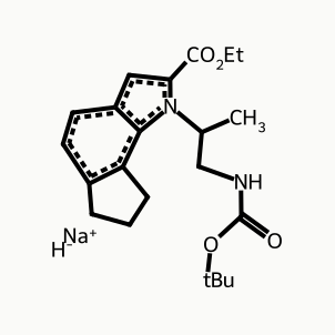 CCOC(=O)c1cc2ccc3c(c2n1C(C)CNC(=O)OC(C)(C)C)CCC3.[H-].[Na+]